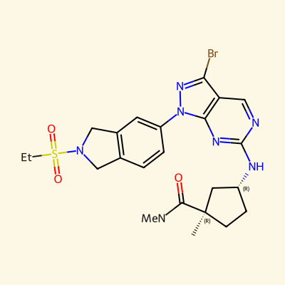 CCS(=O)(=O)N1Cc2ccc(-n3nc(Br)c4cnc(N[C@@H]5CC[C@@](C)(C(=O)NC)C5)nc43)cc2C1